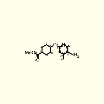 COC(=O)C1CCC(Oc2cc(C)c(N)cn2)CC1